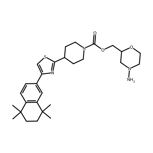 CC1(C)CCC(C)(C)c2cc(-c3csc(C4CCN(C(=O)OCC5CN(N)CCO5)CC4)n3)ccc21